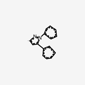 [c]1cc(-c2ccccc2)n(-c2ccccc2)n1